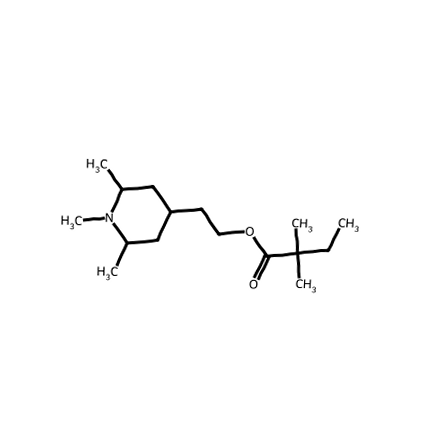 CCC(C)(C)C(=O)OCCC1CC(C)N(C)C(C)C1